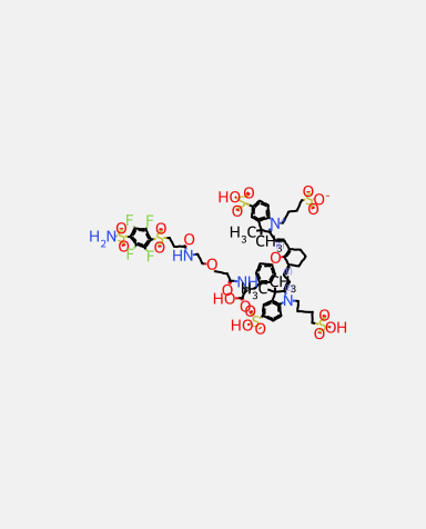 CC1(C)C(/C=C/C2=C(Oc3ccc(C[C@H](NC(=O)CCOCCNC(=O)CCS(=O)(=O)c4c(F)c(F)c(S(N)(=O)=O)c(F)c4F)C(=O)O)cc3)C(=C/C=C3/N(CCCCS(=O)(=O)O)c4ccc(S(=O)(=O)O)cc4C3(C)C)/CCC2)=[N+](CCCCS(=O)(=O)[O-])c2ccc(S(=O)(=O)O)cc21